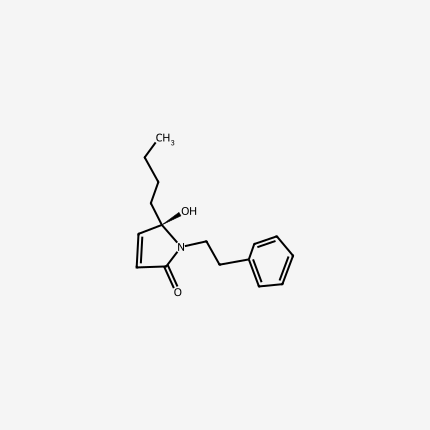 CCCC[C@@]1(O)C=CC(=O)N1CCc1ccccc1